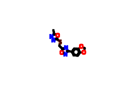 Cc1nnc(SCc2nc(-c3ccc4c(c3)OCO4)no2)o1